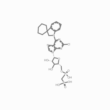 O=P(O)(O)CP(=O)(O)OC[C@H]1O[C@@H](n2cnc3c(N4CC5(CCCCC5)c5ccccc54)nc(Cl)nc32)[C@@H](O)C1O